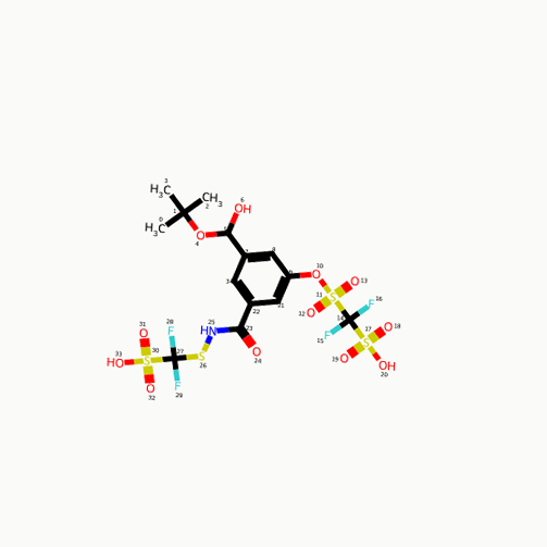 CC(C)(C)OC(O)c1cc(OS(=O)(=O)C(F)(F)S(=O)(=O)O)cc(C(=O)NSC(F)(F)S(=O)(=O)O)c1